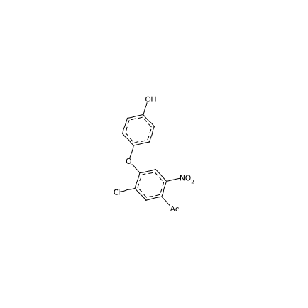 CC(=O)c1cc(Cl)c(Oc2ccc(O)cc2)cc1[N+](=O)[O-]